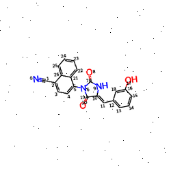 N#Cc1ccc(N2C(=O)N/C(=C\c3cccc(O)c3)C2=O)c2ccccc12